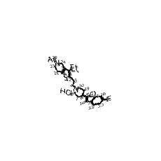 CCc1c(CCN2CCC(c3cc4ccc(F)cc4o3)CC2)sc2c1CN(C(C)=O)CC2.Cl